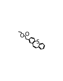 CCOC(=O)Cc1ccc2c(c1)C=Cc1ccccc1S2